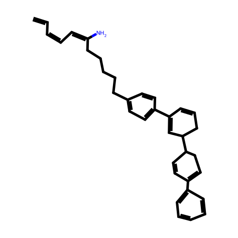 C=C/C=C\C=C(\N)CCCCCc1ccc(C2=CC(C3C=CC(c4ccccc4)=CC3)CC=C2)cc1